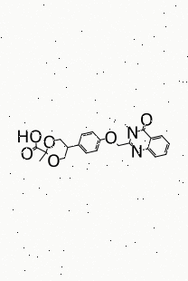 Cn1c(COc2ccc(C3COC(C)(C(=O)O)OC3)cc2)nc2ccccc2c1=O